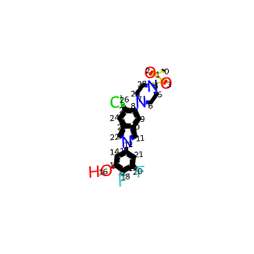 CS(=O)(=O)N1CCN(c2cc3cn(-c4cc(O)c(F)c(F)c4)cc3cc2Cl)CC1